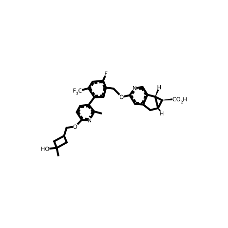 Cc1nc(OCC2CC(C)(O)C2)ccc1-c1cc(COc2cc3c(cn2)[C@H]2[C@@H](C3)[C@@H]2C(=O)O)c(F)cc1C(F)(F)F